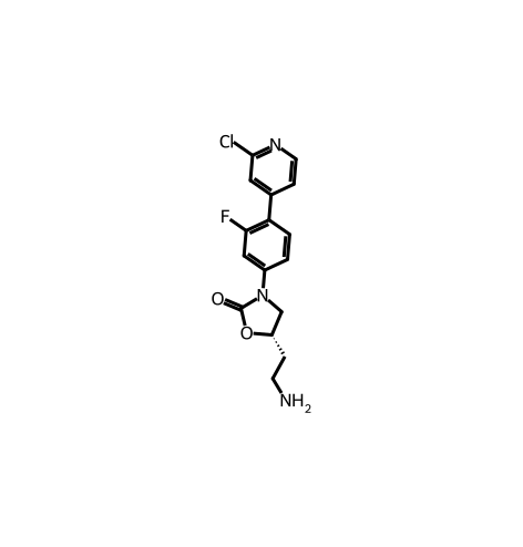 NCC[C@H]1CN(c2ccc(-c3ccnc(Cl)c3)c(F)c2)C(=O)O1